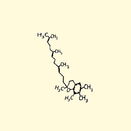 CC(C)=CCC/C(C)=C/CC/C(C)=C/CC[C@]1(C)CCc2cc(C)c(C)c(C)c2O1